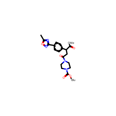 COC(=O)C(CC(=O)N1CCN(C(=O)OC(C)(C)C)CC1)c1ccc(-c2noc(C)n2)cc1